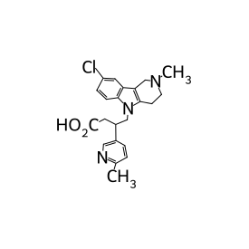 Cc1ccc(C(CC(=O)O)Cn2c3c(c4cc(Cl)ccc42)CN(C)CC3)cn1